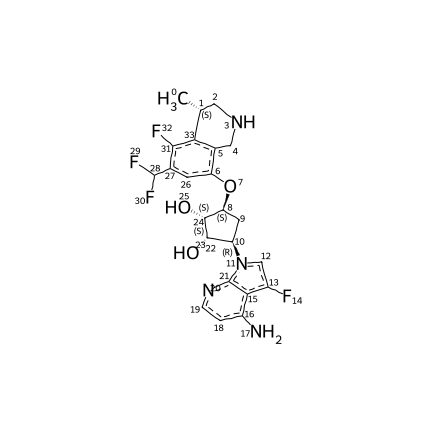 C[C@@H]1CNCc2c(O[C@H]3C[C@@H](n4cc(F)c5c(N)ccnc54)[C@H](O)[C@@H]3O)cc(C(F)F)c(F)c21